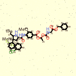 CN[C@]1(c2ccc(Cl)cc2F)C(CC(C)(C)C)N[C@@H](C(=O)Nc2ccc(C(=O)OC(C)OC(=O)NCC(=O)OCc3ccccc3)cc2OC)[C@@H]1c1cccc(Cl)c1F